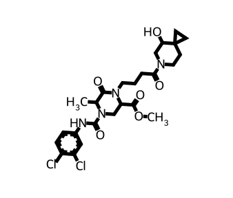 COC(=O)C1CN(C(=O)Nc2ccc(Cl)c(Cl)c2)C(C)C(=O)N1CCCC(=O)N1CCC2(CC2)C(O)C1